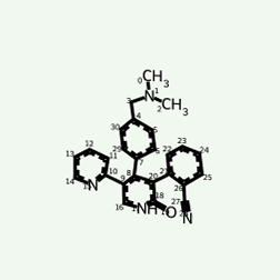 CN(C)Cc1ccc(-c2c(-c3ccccn3)c[nH]c(=O)c2-c2ccccc2C#N)cc1